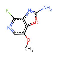 COc1cnc(F)c2nc(N)oc12